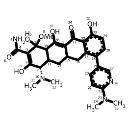 COC1(O)C(C(N)=O)=C(O)[C@@H](N(C)C)C2CC3Cc4c(-c5ccc(N(C)C)nc5)ccc(O)c4C(=O)C3=C(O)C21